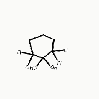 OC1(O)C(Cl)(Cl)CCCC1(Cl)Cl